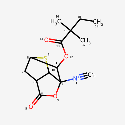 [C-]#[N+]C12OC(=O)C3CC(SC31)C2OC(=O)C(C)(C)CC